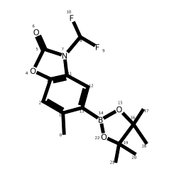 Cc1cc2oc(=O)n(C(F)F)c2cc1B1OC(C)(C)C(C)(C)O1